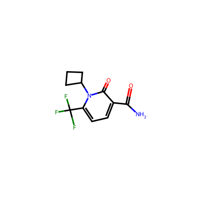 NC(=O)c1ccc(C(F)(F)F)n(C2CCC2)c1=O